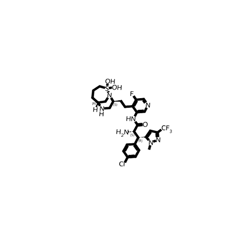 Cn1nc(C(F)(F)F)cc1[C@H](c1ccc(Cl)cc1)[C@H](N)C(=O)Nc1cncc(F)c1CC[C@H]1CN[C@@H]2CCCS(O)(O)N1C2